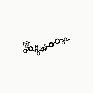 CCOC(=O)CC1CCC(c2ccc(-c3cn4cc(C(=O)NCc5ccc(OC(F)(F)F)c(Cl)c5)nc4s3)cc2)CC1